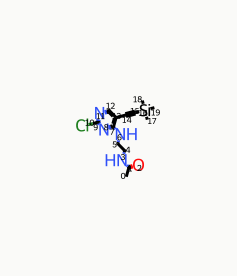 CC(=O)NCCNc1nc(Cl)ncc1C#C[Si](C)(C)C